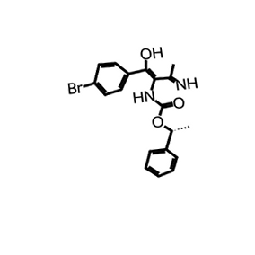 CC(=N)/C(NC(=O)O[C@H](C)c1ccccc1)=C(\O)c1ccc(Br)cc1